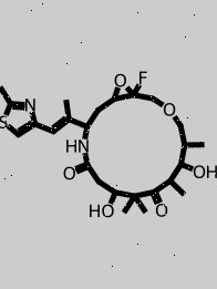 CC(=Cc1csc(C)n1)C1CC2OC2(F)COCC(C)C(O)C(C)C(=O)C(C)(C)C(O)CC(=O)N1